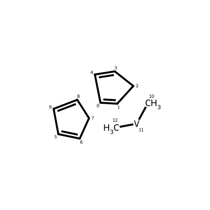 C1=CCC=C1.C1=CCC=C1.[CH3][V][CH3]